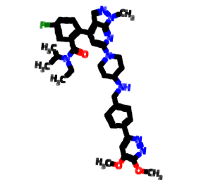 CCN(C(=O)c1cc(F)ccc1-c1cc(N2CCC(NCc3ccc(-c4cc(OC)c(OC)nn4)cc3)CC2)nc2c1cnn2C)C(C)C